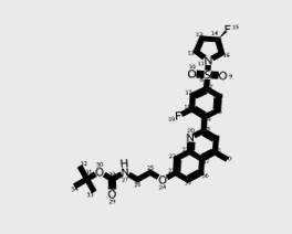 Cc1cc(-c2ccc(S(=O)(=O)N3CC[C@H](F)C3)cc2F)nc2cc(OCCNC(=O)OC(C)(C)C)ccc12